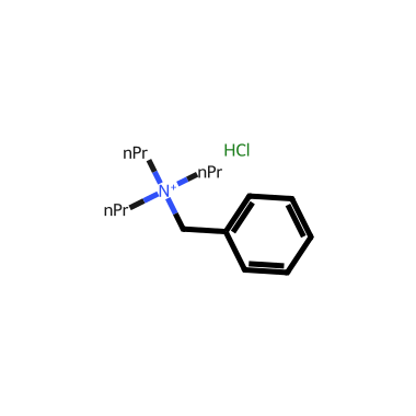 CCC[N+](CCC)(CCC)Cc1ccccc1.Cl